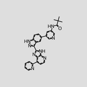 CC(C)(C)C(=O)Nc1cncc(-c2ccc3[nH]nc(-c4nc5c(-c6ccccn6)ccnc5[nH]4)c3c2)c1